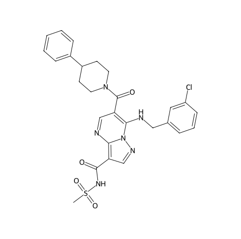 CS(=O)(=O)NC(=O)c1cnn2c(NCc3cccc(Cl)c3)c(C(=O)N3CCC(c4ccccc4)CC3)cnc12